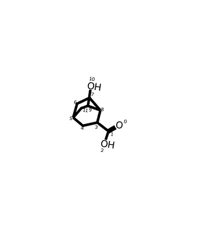 O=C(O)C1CC2CCC1C(O)C2